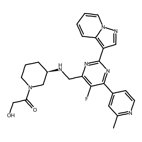 Cc1cc(-c2nc(-c3cnn4ccccc34)nc(CN[C@@H]3CCCN(C(=O)CO)C3)c2F)ccn1